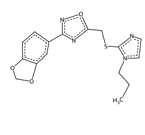 CCCn1ccnc1SCc1nc(-c2ccc3c(c2)OCO3)no1